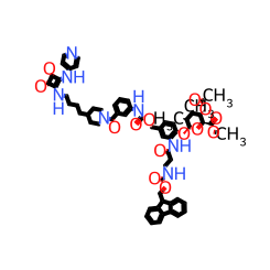 COC(=O)[C@H]1O[C@@H](Oc2ccc(COC(=O)Nc3cccc(C(=O)N4CCC(CCCCNc5c(Nc6ccncc6)c(=O)c5=O)CC4)c3)cc2NC(=O)CCNC(=O)OCC2c3ccccc3-c3ccccc32)[C@H](C)[C@@H](C)[C@@H]1OC(C)=O